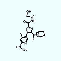 Cc1cc(NC(C)(C)C)ncc1-c1sc(C(=O)N[C@H](C)CO)nc1C(=O)N1C2CCC1CC2